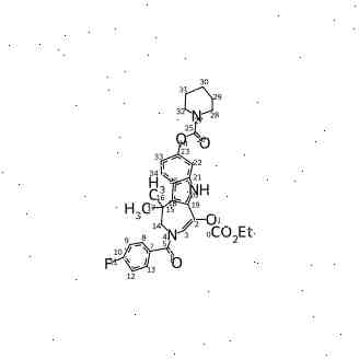 CCOC(=O)OC1=CN(C(=O)c2ccc(F)cc2)CC(C)(C)c2c1[nH]c1cc(OC(=O)N3CCCCC3)ccc21